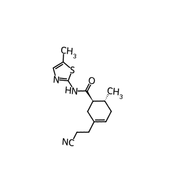 Cc1cnc(NC(=O)[C@@H]2CC(CCC#N)=CC[C@H]2C)s1